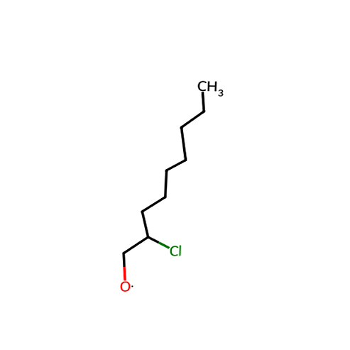 CCCCCCCC(Cl)C[O]